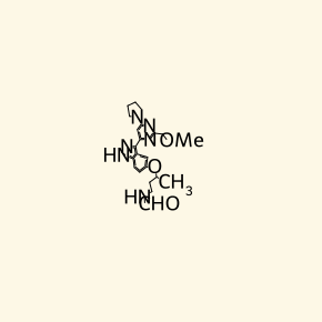 COCc1nc(-c2n[nH]c3ccc(OC(C)CCNC=O)cc23)cc(N2CCCC2)n1